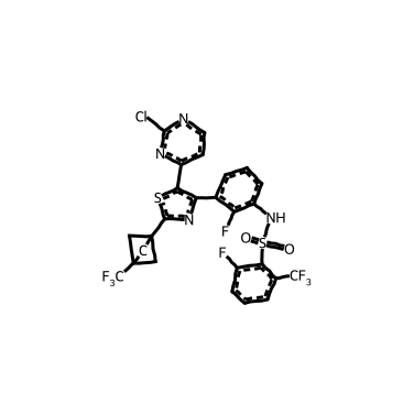 O=S(=O)(Nc1cccc(-c2nc(C34CC(C(F)(F)F)(C3)C4)sc2-c2ccnc(Cl)n2)c1F)c1c(F)cccc1C(F)(F)F